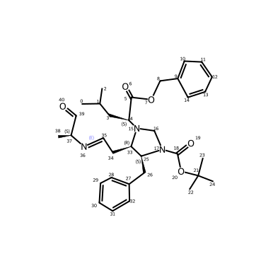 CC(C)C[C@@H](C(=O)OCc1ccccc1)N1CN(C(=O)OC(C)(C)C)[C@@H](Cc2ccccc2)[C@H]1C/C=N/[C@@H](C)C=O